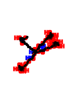 CCOC[C@@H]1C[C@@H](O)CN1C(=O)CCCCCCCCCCC(=O)NC(COCCC(=O)NCCOCCOCCO[C@H]1OC(CO)[C@@H](O)C(O)[C@H]1O)(COCCC(=O)NCCOCCOCCO[C@H]1OC(CO)[C@@H](O)C(O)[C@H]1O)COCCC(=O)NCCOCCOCCO[C@H]1OC(CO)[C@@H](O)C(O)[C@H]1O